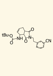 CC(C)(C)OC(=O)NC1C=CCC2C(=O)N(CCc3cccc(C#N)c3)C(=O)C12